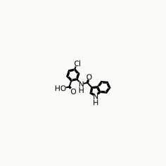 O=C(O)c1ccc(Cl)cc1NC(=O)c1c[nH]c2ccccc12